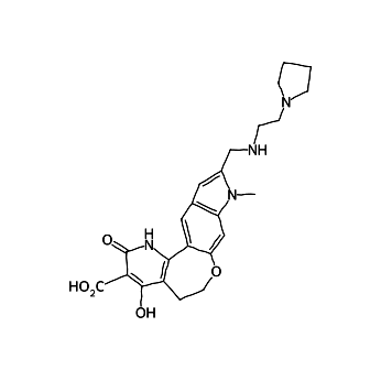 Cn1c(CNCCN2CCCC2)cc2cc3c(cc21)OCCc1c-3[nH]c(=O)c(C(=O)O)c1O